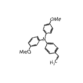 C=Cc1ccc(N(c2ccc(OC)cc2)c2cccc(OC)c2)cc1